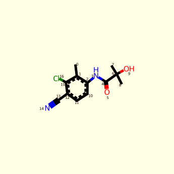 Cc1c(NC(=O)C(C)(C)O)ccc(C#N)c1Cl